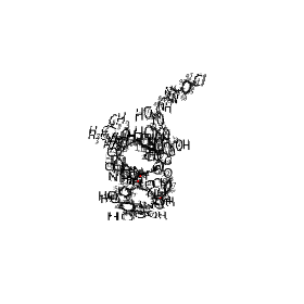 CN[C@H](CC(C)C)C(=O)NC1C(=O)N[C@@H](CC(N)=O)C(=O)N[C@H]2C(=O)N[C@H]3C(=O)N[C@H](C(=O)N[C@@H](C(=O)O)c4cc(O)cc(O)c4-c4cc3ccc4O)[C@H](O)c3ccc(c(Cl)c3)Oc3cc2cc(c3O[C@@H]2O[C@H](CO)[C@@H](O[C@@H]3O[C@H](CNCc4cnc(-c5ccc(Cl)cc5)cn4)[C@H](O)[C@H](O)[C@H]3O)[C@H](O)[C@H]2O)Oc2ccc(cc2Cl)[C@H]1O